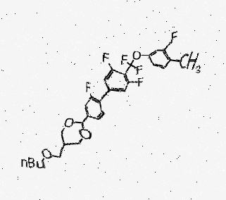 CCCCOCC1COC(c2ccc(-c3cc(F)c(C(F)(F)Oc4ccc(C)c(F)c4)c(F)c3)c(F)c2)OC1